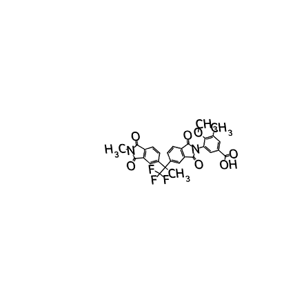 COc1c(C)cc(C(=O)O)cc1N1C(=O)c2ccc(C(C)(c3ccc4c(c3)C(=O)N(C)C4=O)C(F)(F)F)cc2C1=O